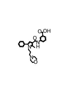 Cc1c(C(=O)Nc2cccc(C(=O)O)c2)cc(-c2ccccc2)n1CCCN1CCOCC1